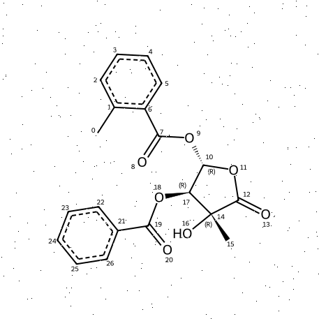 Cc1ccccc1C(=O)O[C@@H]1OC(=O)[C@](C)(O)[C@H]1OC(=O)c1ccccc1